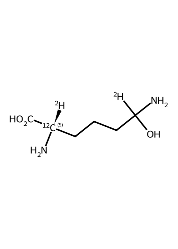 [2H]C(N)(O)CCC[12C@]([2H])(N)C(=O)O